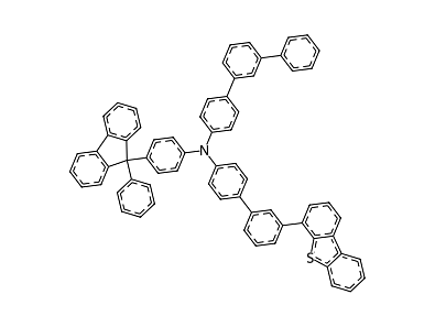 c1ccc(-c2cccc(-c3ccc(N(c4ccc(-c5cccc(-c6cccc7c6sc6ccccc67)c5)cc4)c4ccc(C5(c6ccccc6)c6ccccc6-c6ccccc65)cc4)cc3)c2)cc1